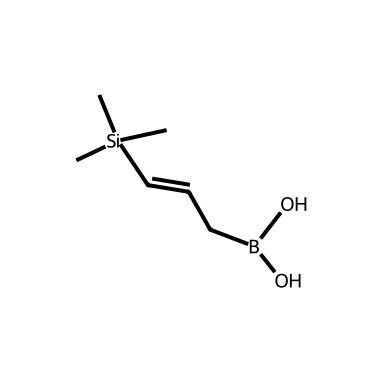 C[Si](C)(C)C=CCB(O)O